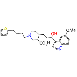 COc1ccc2nccc([C@H](O)CC[C@@H]3CCN(CCCCc4cccs4)C[C@@H]3C(=O)O)c2c1